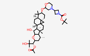 CC(=O)O[C@@H](C1C[C@@H](C)C2C(O1)[C@H](O)[C@@]1(C)[C@@H]3CC[C@H]4C(C)(C)[C@@H](OC5CN(C6CN(C(=O)OC(C)(C)C)C6)CCO5)CC[C@@]45CC35CC[C@]21C)C(C)(C)O